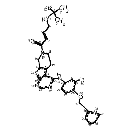 CCC(C)(C)NC/C=C/C(=O)N1CCc2c(sc3ncnc(Nc4ccc(OCc5ccccn5)c(Cl)c4)c23)C1